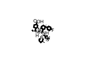 CC[C@@H](Nc1nc2c(c(N[C@@H](CN3CCC[C@H](C)C3)c3cnn(C)c3)n1)C[C@](C)(c1ccc(F)cc1)CC2)C1CCC(C(=O)O)CC1